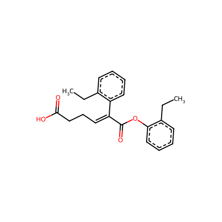 CCc1ccccc1OC(=O)C(=CCCC(=O)O)c1ccccc1CC